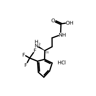 Cl.N[C@@H](CCNC(=O)O)c1ccccc1C(F)(F)F